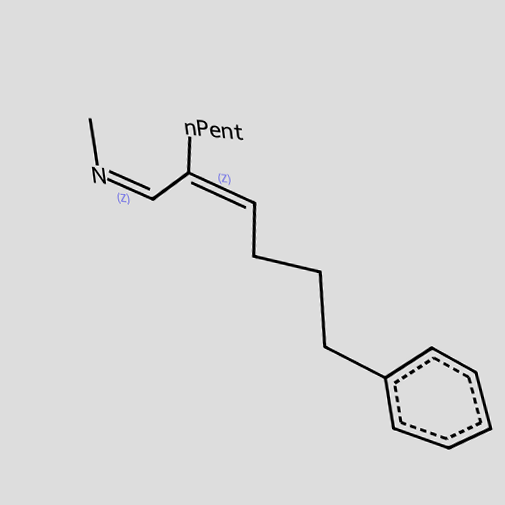 CCCCCC(/C=N\C)=C/CCCc1ccccc1